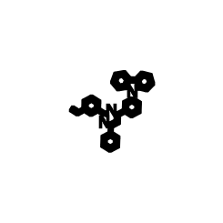 C=Cc1cccc(-c2nc(-c3ccccc3)cc(-c3cccc(-n4c5ccccc5c5ccccc54)c3)n2)c1